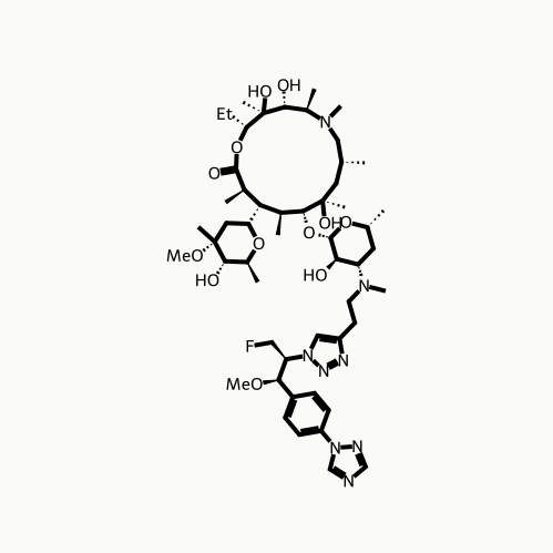 CC[C@H]1OC(=O)[C@H](C)[C@@H](C2C[C@@](C)(OC)[C@@H](O)[C@H](C)O2)[C@H](C)[C@@H](O[C@@H]2O[C@H](C)C[C@H](N(C)CCc3cn([C@H](CF)[C@H](OC)c4ccc(-n5cncn5)cc4)nn3)[C@H]2O)[C@](C)(O)C[C@@H](C)CN(C)[C@H](C)[C@@H](O)[C@]1(C)O